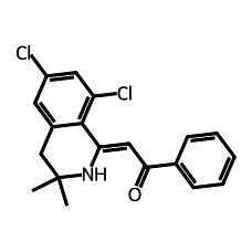 CC1(C)Cc2cc(Cl)cc(Cl)c2C(=CC(=O)c2ccccc2)N1